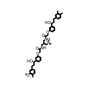 COc1cc(CC[C@@H](O)c2cccc(OCC(=O)NCC(CNC(=O)COc3cccc([C@H](O)CCc4ccc(C)c(C)c4)c3)CN(C)C)c2)ccc1C